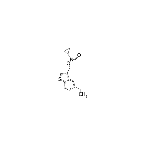 CCc1ccc2scc(CON(C=O)C3CC3)c2c1